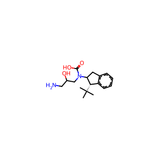 CC(C)(C)[C@H]1c2ccccc2CC1N(CC(O)CN)C(=O)O